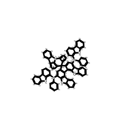 c1ccc(N(c2cccc3c2oc2ccccc23)c2cc3c(c4c2oc2ccccc24)-c2c(cc(N(c4ccccc4)c4cccc5c4oc4ccccc45)c4c2oc2ccccc24)C32c3ccccc3-n3c4ccccc4c4cccc2c43)cc1